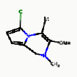 CCC1=C(OC)N(C)Cc2ccc(Cl)n21